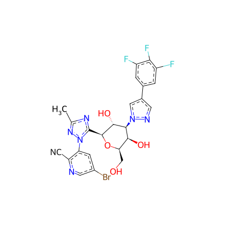 Cc1nc([C@@H]2O[C@H](CO)[C@H](O)[C@H](n3cc(-c4cc(F)c(F)c(F)c4)cn3)[C@H]2O)n(-c2cc(Br)cnc2C#N)n1